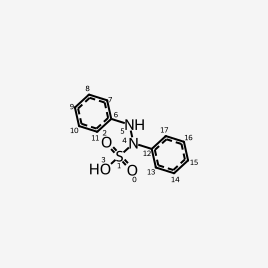 O=S(=O)(O)N(Nc1ccccc1)c1ccccc1